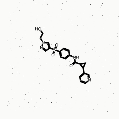 O=C(Nc1ccc(S(=O)(=O)c2cnn(CCO)c2)cc1)C1CC1c1cccnc1